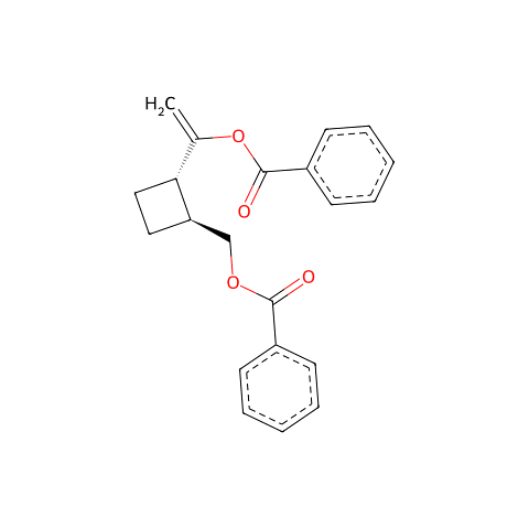 C=C(OC(=O)c1ccccc1)[C@H]1CC[C@@H]1COC(=O)c1ccccc1